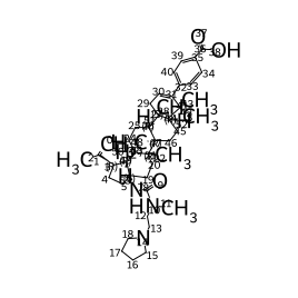 C=C(C)[C@@H]1CC[C@]2(NC(=O)N(C)CCN3CCCC3)CC[C@]3(C)[C@H](CC[C@@H]4[C@@]5(C)CC=C(c6ccc(C(=O)O)cc6)C(C)(C)[C@@H]5CC[C@]43C)[C@@H]12